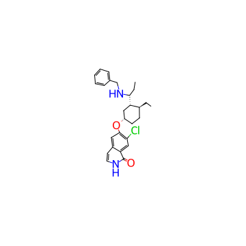 CCC(NCc1ccccc1)[C@H]1C[C@@H](Oc2cc3cc[nH]c(=O)c3cc2Cl)CC[C@@H]1CC